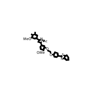 COc1ccc(C2CC(c3cc(C)c(C)c(OC)c3)=NN2C(C)=O)cc1OCCOc1ccc(-c2nc3ccccc3s2)cc1